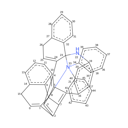 C1=C2C3=C4C5=C6C(=C3C26c2ccccc2C1)c1ccc(cc1)NC1(C5=CCc2ccccc21)[N+]4(c1ccccc1)c1ccccc1